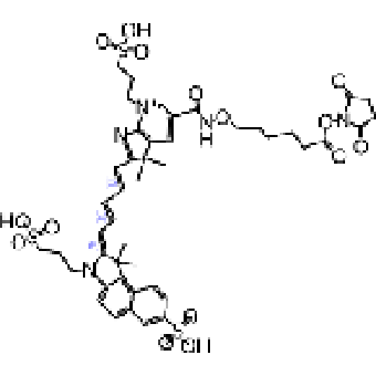 CC1(C)C(/C=C/C=C/C=C2/N(CCCS(=O)(=O)O)c3ccc4cc(S(=O)(=O)O)ccc4c3C2(C)C)=Nc2c1cc(C(=O)NOCCCCCC(=O)ON1C(=O)CCC1=O)c[n+]2CCCS(=O)(=O)O